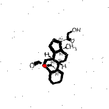 C[C@]12CC[C@H]3[C@@H](CCC4CCCC[C@@]43COC=O)C1=CC[C@@H]2C(=O)CO